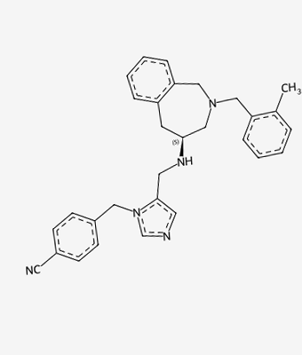 Cc1ccccc1CN1Cc2ccccc2C[C@H](NCc2cncn2Cc2ccc(C#N)cc2)C1